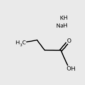 CCCC(=O)O.[KH].[NaH]